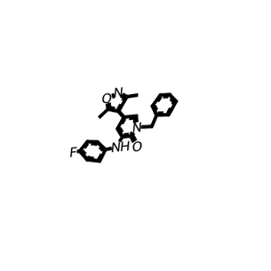 Cc1noc(C)c1-c1cc(Nc2ccc(F)cc2)c(=O)n(Cc2ccccc2)c1